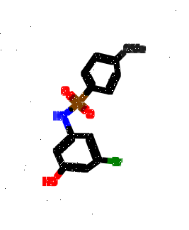 COc1ccc(S(=O)(=O)Nc2cc(O)cc(Br)c2)cc1